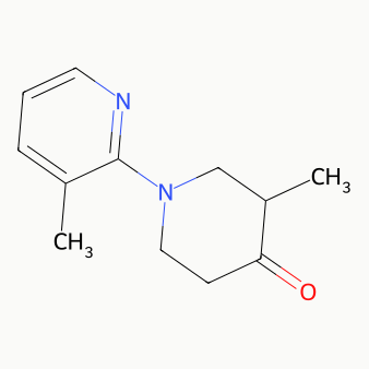 Cc1cccnc1N1CCC(=O)C(C)C1